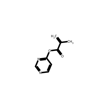 C=C(C)C(=O)Oc1ccncn1